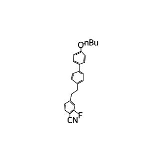 CCCCOc1ccc(-c2ccc(CCc3ccc(C#N)c(F)c3)cc2)cc1